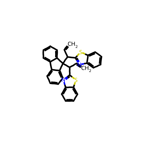 C=CC(c1nc2ccccc2s1)C1(C(C=C)c2nc3ccccc3s2)c2ccccc2-c2ccccc21